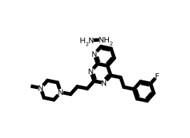 CN1CCN(CCCc2nc(CCc3cccc(F)c3)c3cccnc3n2)CC1.NN